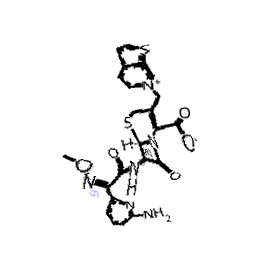 CO/N=C(\C(=O)NC1C(=O)N2C(C(=O)[O-])=C(C[n+]3ccc4ccsc4c3)CS[C@H]12)c1cccc(N)n1